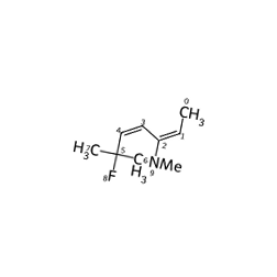 C/C=C(\C=C/C(C)(C)F)NC